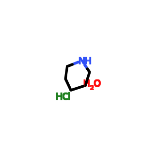 C1CCNCC1.Cl.O